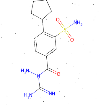 N=C(N)N(N)C(=O)c1ccc(C2CCCC2)c(S(N)(=O)=O)c1